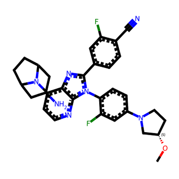 CO[C@H]1CCN(c2ccc(-n3c(-c4ccc(C#N)c(F)c4)nc4c(N5C6CCC5CC(N)C6)ccnc43)c(F)c2)C1